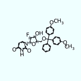 COc1ccc(C(OC[C@H]2O[C@H](n3ccc(=O)[nH]c3=O)[C@H](F)[C@@H]2O)(c2ccccc2)c2ccc(OC)cc2)cc1